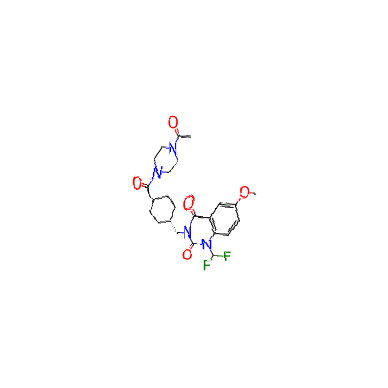 COc1ccc2c(c1)c(=O)n(C[C@H]1CC[C@H](C(=O)N3CCN(C(C)=O)CC3)CC1)c(=O)n2C(F)F